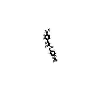 COC(=O)c1ccc(-c2cc(NCc3ccc(OC(F)(F)F)cc3)n(C)n2)cc1